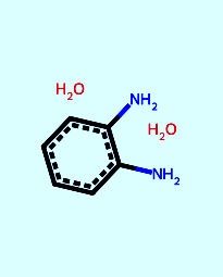 Nc1ccccc1N.O.O